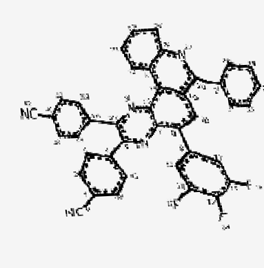 N#Cc1ccc(-c2nc3c(-c4cc(F)c(F)c(F)c4)cc4c(-c5ccccc5)nc5ccccc5c4c3nc2-c2ccc(C#N)cc2)cc1